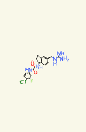 N=C(N)NCc1ccc2c(c1)CC[C@H]2NC(=O)C(=O)Nc1ccc(Cl)c(F)c1